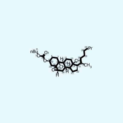 CCCCOC(=O)O[C@H]1CC[C@]2(C)[C@H]3CC[C@]4(C)[C@@H]([C@H](C)CCCC(C)C)CC[C@H]4[C@@H]3C[C@@H]3OC32C1